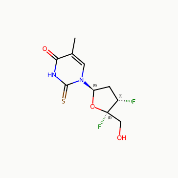 Cc1cn([C@H]2C[C@H](F)[C@@](F)(CO)O2)c(=S)[nH]c1=O